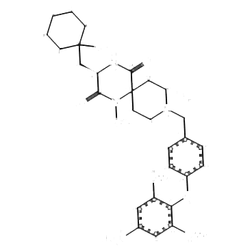 CCCCN1C(=O)[C@@H](CC2(O)CCCCC2)NC(=O)C12CCN(Cc1ccc(Oc3c(OC)cc(C(=O)O)cc3OC)cc1)CC2.Cl